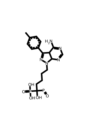 Cc1ccc(C2=NN(CCCCC(O)(P=O)P(=O)(O)O)C3N=CN=C(N)C23)cc1